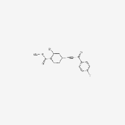 CCC1CC(C#CC(=O)c2ccc(F)cc2)CCN1C(=O)OC(C)(C)C